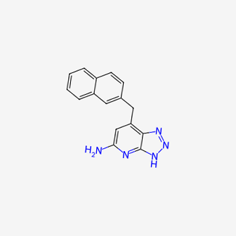 Nc1cc(Cc2ccc3ccccc3c2)c2nn[nH]c2n1